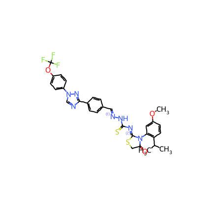 COc1ccc(C(C)C)c(N2C(=O)CS/C2=N\C(=S)N/N=C/c2ccc(-c3ncn(-c4ccc(OC(F)(F)F)cc4)n3)cc2)c1